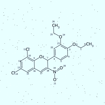 CCOc1ccc(C2Oc3c(Cl)cc(Cl)cc3C=C2[N+](=O)[O-])cc1OCC